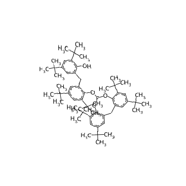 CC(C)(C)c1cc(Cc2cc(C(C)(C)C)cc(C(C)(C)C)c2OP2Oc3c(cc(C(C)(C)C)cc3C(C)(C)C)Cc3cc(C(C)(C)C)cc(C(C)(C)C)c3O2)c(O)c(C(C)(C)C)c1